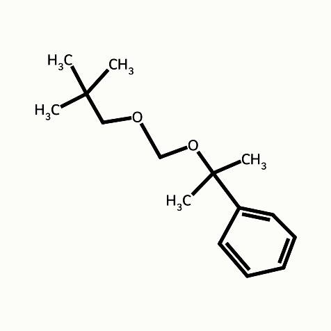 CC(C)(C)COCOC(C)(C)c1ccccc1